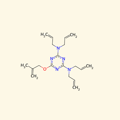 C=CCN(CC=C)c1nc(OCC(=C)C)nc(N(CC=C)CC=C)n1